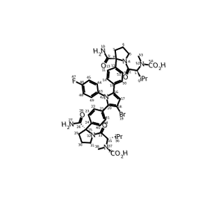 CC(C)[C@@H](C(=O)N1CCC[C@@]1(C(N)=O)c1ccc(-c2cc(Br)c(-c3ccc([C@]4(C(N)=O)CCCN4C(=O)[C@H](C(C)C)N(C)C(=O)O)cc3)n2-c2ccc(F)cc2)cc1)N(C)C(=O)O